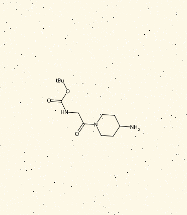 CC(C)(C)OC(=O)NCC(=O)N1CCC(N)CC1